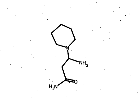 NC(=O)CC(N)N1CCCCC1